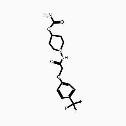 NC(=O)OC1CCN(NC(=O)COc2ccc(C(F)(F)F)cc2)CC1